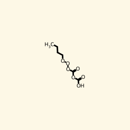 CCCCOOOC(=O)OC(=O)O